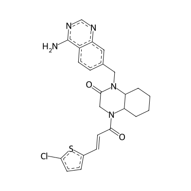 Nc1ncnc2cc(CN3C(=O)CN(C(=O)C=Cc4ccc(Cl)s4)C4CCCCC43)ccc12